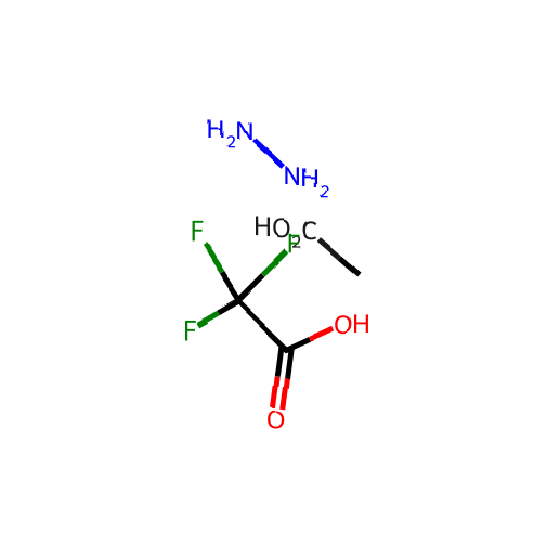 CC(=O)O.NN.O=C(O)C(F)(F)F